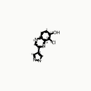 Oc1ccc2ncc(C3=C[N]N=C3)nc2c1Cl